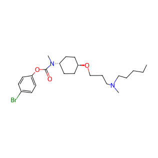 CCCCCN(C)CCCO[C@H]1CC[C@H](N(C)C(=O)Oc2ccc(Br)cc2)CC1